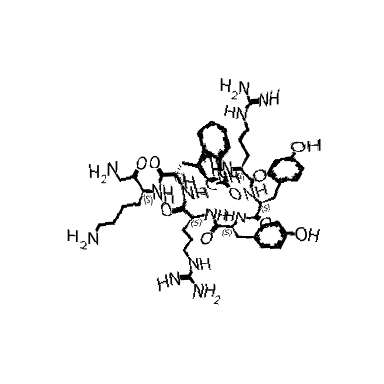 CC(=O)N[C@@H](CCCNC(=N)N)C(=O)N[C@@H](Cc1ccc(O)cc1)C(=O)N[C@@H](Cc1ccc(O)cc1)C(=O)N[C@@H](CCCNC(=N)N)C(=O)N[C@@H](Cc1c[nH]c2ccccc12)C(=O)N[C@@H](CCCCN)C(=O)CN